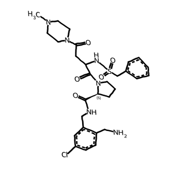 CN1CCN(C(=O)CC(NS(=O)(=O)Cc2ccccc2)C(=O)N2CCC[C@H]2C(=O)NCc2cc(Cl)ccc2CN)CC1